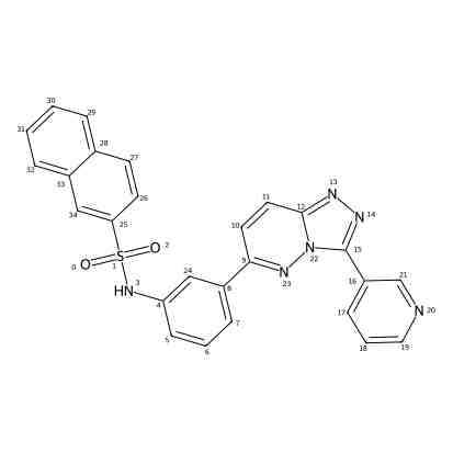 O=S(=O)(Nc1cccc(-c2ccc3nnc(-c4cccnc4)n3n2)c1)c1ccc2ccccc2c1